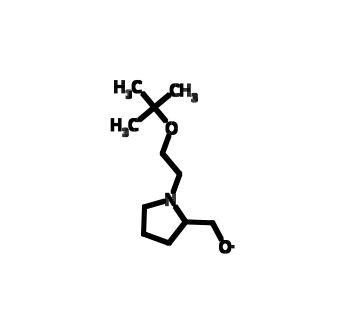 CC(C)(C)OCCN1CCCC1C[O]